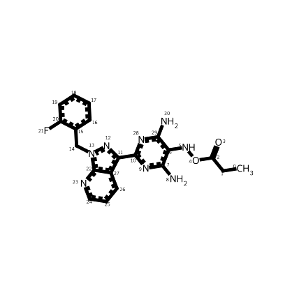 CCC(=O)ONc1c(N)nc(-c2nn(Cc3ccccc3F)c3ncccc23)nc1N